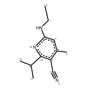 CCNc1cc(C)c(C#N)c(C(C)C)n1